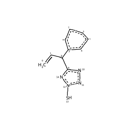 C=CC(c1ccccc1)c1nnn(S)n1